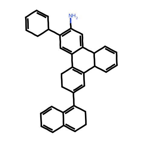 Nc1cc2c(cc1C1C=CC=CC1)C1=C(C=C(C3=c4ccccc4=CCC3)CC1)C1C=CC=CC21